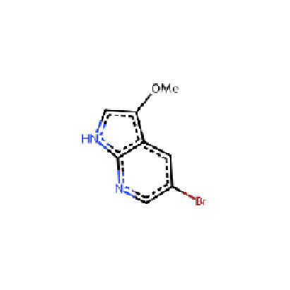 COc1c[nH]c2ncc(Br)cc12